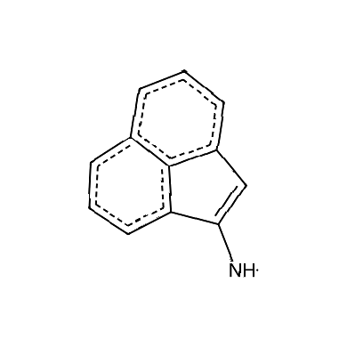 [NH]C1=Cc2cccc3cccc1c23